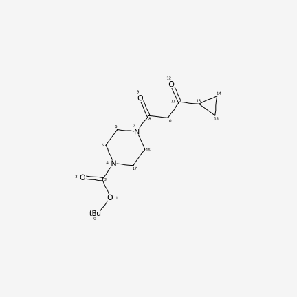 CC(C)(C)OC(=O)N1CCN(C(=O)CC(=O)C2CC2)CC1